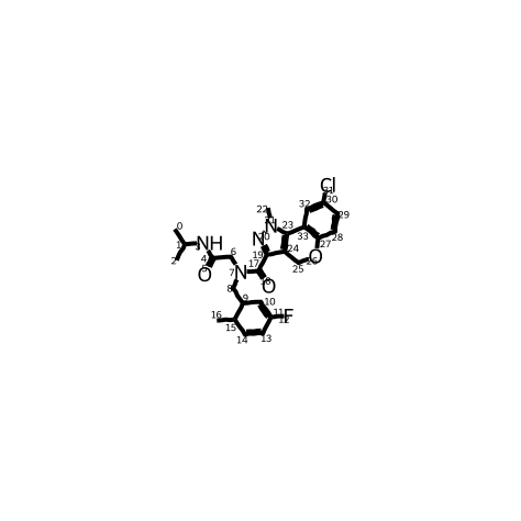 CC(C)NC(=O)CN(CC1C=C(F)C=CC1C)C(=O)c1nn(C)c2c1COc1ccc(Cl)cc1-2